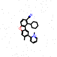 Cc1cc2oc3ccc(C#N)c(C4CCCCC4)c3c2cc1-c1cccc[n+]1C